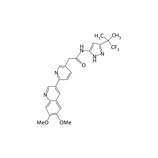 COc1cc2cc(-c3ccc(CC(=O)Nc4cc(C(C)(C)C(F)(F)F)n[nH]4)cn3)cnc2cc1OC